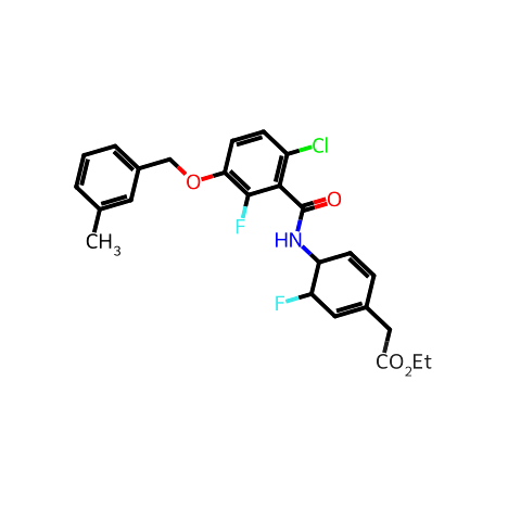 CCOC(=O)CC1=CC(F)C(NC(=O)c2c(Cl)ccc(OCc3cccc(C)c3)c2F)C=C1